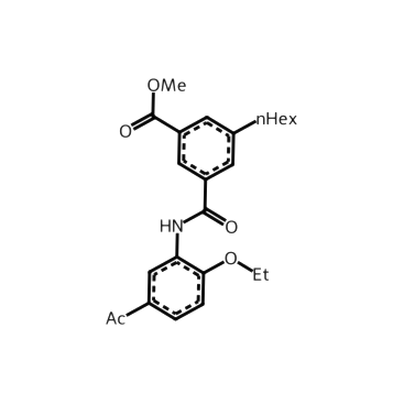 CCCCCCc1cc(C(=O)Nc2cc(C(C)=O)ccc2OCC)cc(C(=O)OC)c1